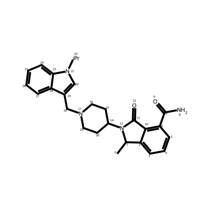 CC1c2cccc(C(N)=O)c2C(=O)N1C1CCN(Cc2cn(C(C)C)c3ccccc23)CC1